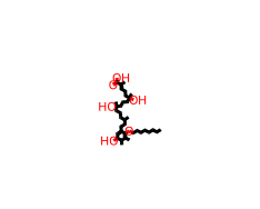 CCCCCCCCOC1=C(C)C(C)C(O)C=C1CCC(C)CCCC(C)(O)CCCC(C)(O)CC/C=C(\C)C(=O)O